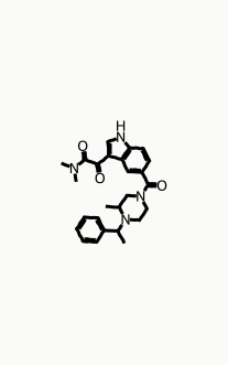 CC1CN(C(=O)c2ccc3[nH]cc(C(=O)C(=O)N(C)C)c3c2)CCN1C(C)c1ccccc1